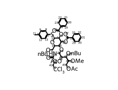 CCCCOCC1O[C@@H](Sc2ccc(C)cc2)[C@@H](OC(=O)c2ccccc2)C(OC(=O)c2ccccc2)C1O[C@@H](NC(=O)OCC(Cl)(Cl)Cl)[C@@H](OC(C)=O)[C@@H](OCCCC)C(COC(C)=O)OC